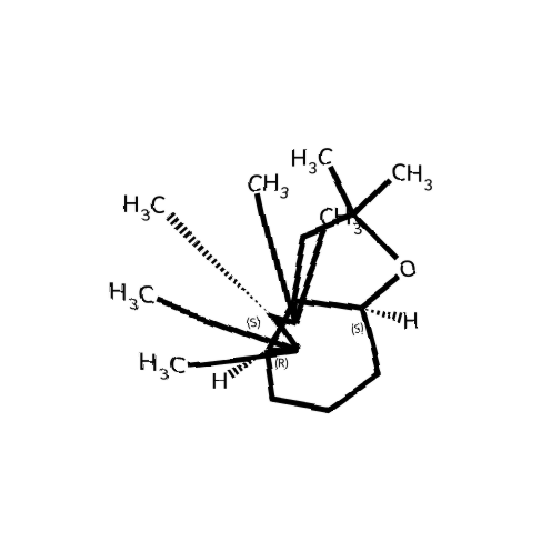 C[C@H]1C(C)(C)[C@H]2CCC[C@@H]3OC(C)(C)CC32C1(C)C